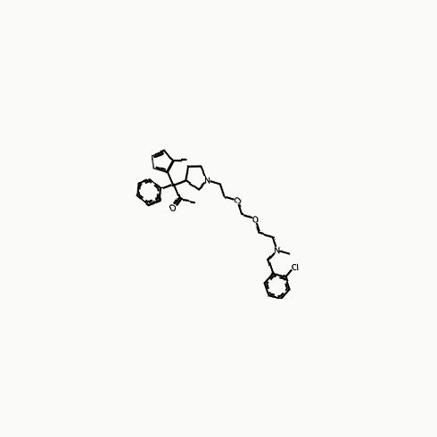 CC(=O)C(C1=CC=CC1C)(c1ccccc1)C1CCN(CCOCOCCN(C)Cc2ccccc2Cl)C1